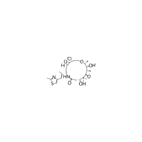 CC(=Cc1csc(C)n1)[C@@H]1C[C@H]2O[C@@]2(Cl)CCO[C@@H](C)[C@@H](O)[C@@H](C)C(=O)C(C)(C)[C@@H](O)CC(=O)N1